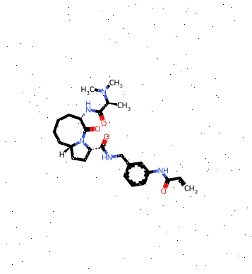 C=CC(=O)Nc1cccc(CNC(=O)[C@@H]2CC[C@@H]3CCCC[C@H](NC(=O)[C@H](C)N(C)C)C(=O)N32)c1